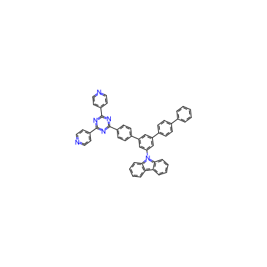 c1ccc(-c2ccc(-c3cc(-c4ccc(-c5nc(-c6ccncc6)nc(-c6ccncc6)n5)cc4)cc(-n4c5ccccc5c5ccccc54)c3)cc2)cc1